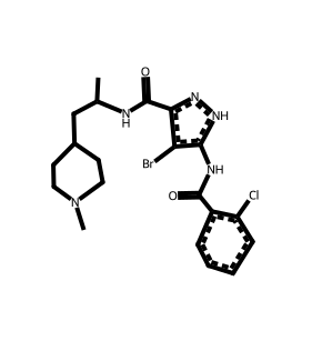 CC(CC1CCN(C)CC1)NC(=O)c1n[nH]c(NC(=O)c2ccccc2Cl)c1Br